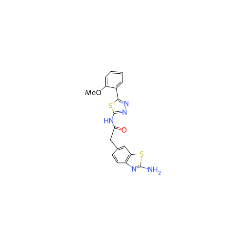 COc1ccccc1-c1nnc(NC(=O)Cc2ccc3nc(N)sc3c2)s1